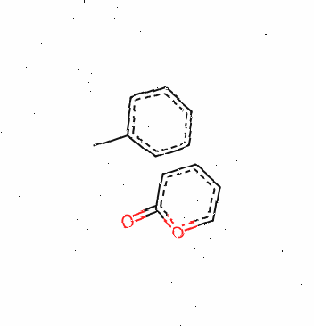 Cc1ccccc1.O=c1cccco1